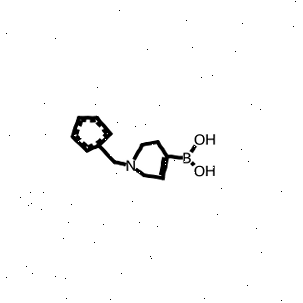 OB(O)C1=CCN(Cc2ccccc2)CC1